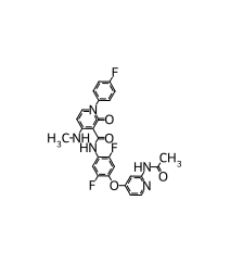 CNc1ccn(-c2ccc(F)cc2)c(=O)c1C(=O)Nc1cc(F)c(Oc2ccnc(NC(C)=O)c2)cc1F